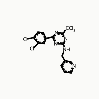 Clc1ccc(-c2nc(NCc3cccnc3)nc(C(Cl)(Cl)Cl)n2)cc1Cl